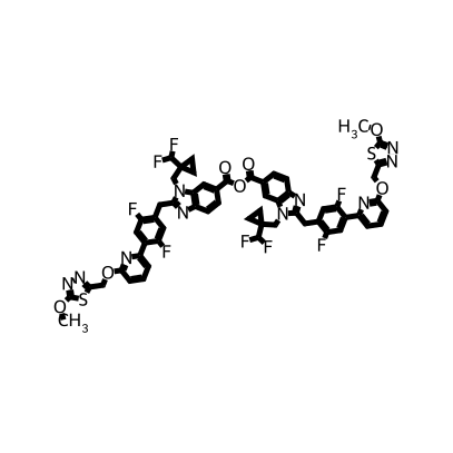 COc1nnc(COc2cccc(-c3cc(F)c(Cc4nc5ccc(C(=O)OC(=O)c6ccc7nc(Cc8cc(F)c(-c9cccc(OCc%10nnc(OC)s%10)n9)cc8F)n(CC8(C(F)F)CC8)c7c6)cc5n4CC4(C(F)F)CC4)cc3F)n2)s1